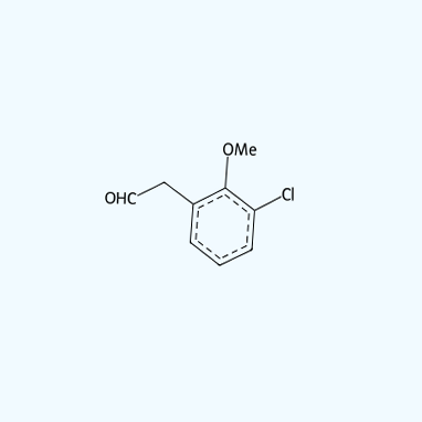 COc1c(Cl)cccc1CC=O